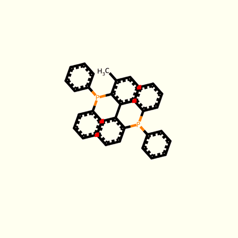 Cc1cccc(-c2ccccc2P(c2ccccc2)c2ccccc2)c1P(c1ccccc1)c1ccccc1